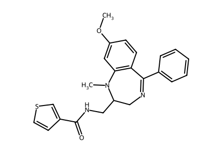 COc1ccc2c(c1)N(C)C(CNC(=O)c1ccsc1)CN=C2c1ccccc1